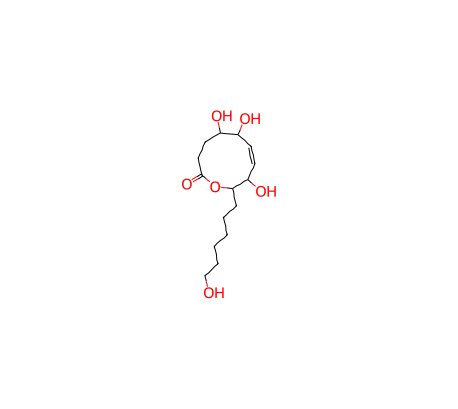 O=C1CCC(O)C(O)/C=C\C(O)C(CCCCCCO)O1